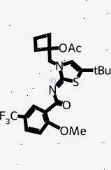 COc1ccc(C(F)(F)F)cc1C(=O)/N=c1\sc(C(C)(C)C)cn1CC1(OC(C)=O)CCC1